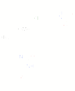 COc1c(C#Cc2ccc(NS(C)(=O)=O)cc2Cl)cc(-n2ccc(=O)[nH]c2=O)cc1C(C)(C)C